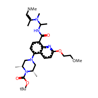 CN/C=C(/C)N(C)C(C)NC(=O)c1ccc(N2C[C@@H](C)N(C(=O)OC(C)(C)C)[C@@H](C)C2)c2ccc(OCCOC)nc12